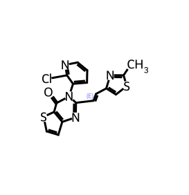 Cc1nc(/C=C/c2nc3ccsc3c(=O)n2-c2cccnc2Cl)cs1